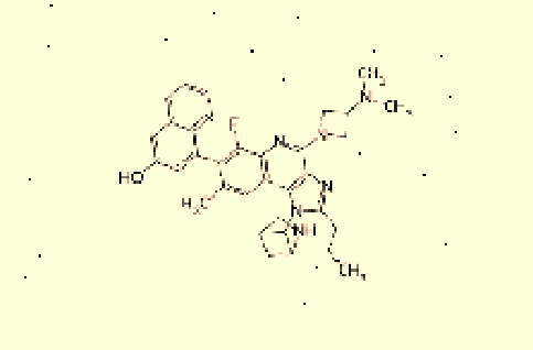 CCCc1nc2c(N3CC(N(C)C)C3)nc3c(F)c(-c4cc(O)cc5ccccc45)c(C)cc3c2n1C1C2CNC1C2